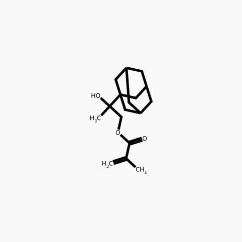 C=C(C)C(=O)OCC(C)(O)C12CC3CC(CC(C3)C1)C2